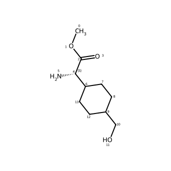 COC(=O)[C@@H](N)C1CCC(CO)CC1